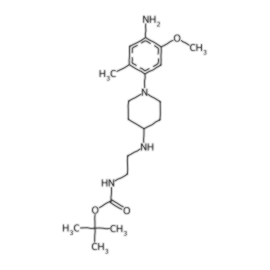 COc1cc(N2CCC(NCCNC(=O)OC(C)(C)C)CC2)c(C)cc1N